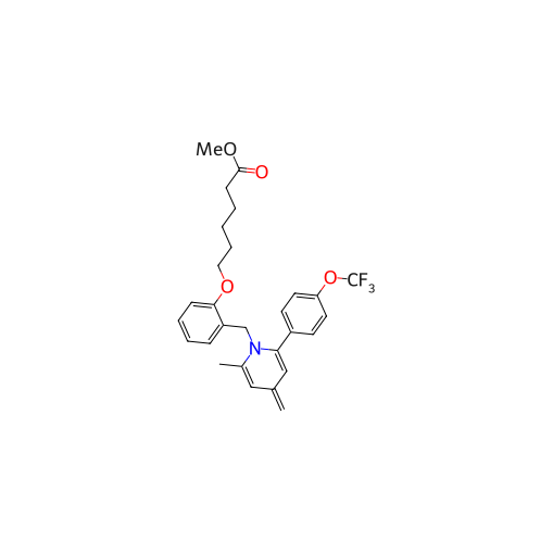 C=C1C=C(C)N(Cc2ccccc2OCCCCCC(=O)OC)C(c2ccc(OC(F)(F)F)cc2)=C1